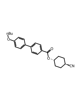 CCCCOc1ccc(-c2ccc(C(=O)O[C@H]3CC[C@H](C#N)CC3)cc2)cc1